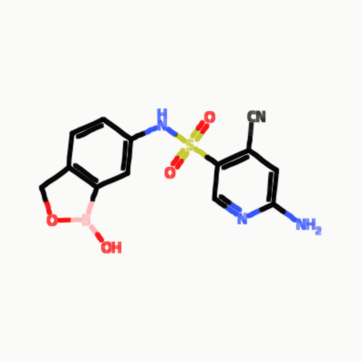 N#Cc1cc(N)ncc1S(=O)(=O)Nc1ccc2c(c1)B(O)OC2